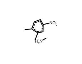 CN.Cc1ccc([N+](=O)[O-])cc1C